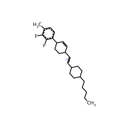 CCCCCC1CCC(/C=C/C2C=CC(c3ccc(C)c(F)c3F)CC2)CC1